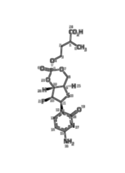 CC(CCO[P@]1(=O)OC[C@H]2S[C@@H](n3ccc(N)nc3=O)[C@@H](F)[C@@H]2O1)C(=O)O